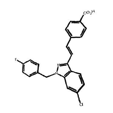 O=C(O)c1ccc(C=Cc2nn(Cc3ccc(F)cc3)c3cc(Cl)ccc23)cc1